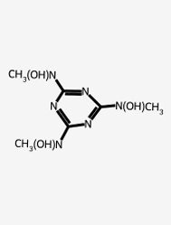 CN(O)c1nc(N(C)O)nc(N(C)O)n1